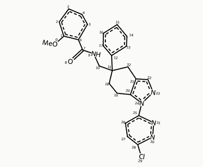 COc1ccccc1C(=O)NCC1(c2ccccc2)CCc2c(cnn2-c2ccc(Cl)nn2)C1